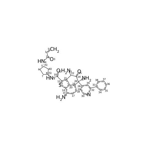 C=CC(=O)N[C@H]1CC[C@H](NC(=O)c2sc3c(N)ccc4c3c2C(N)C(=O)C4(N)c2ccnc(-c3ccccc3)c2)C1